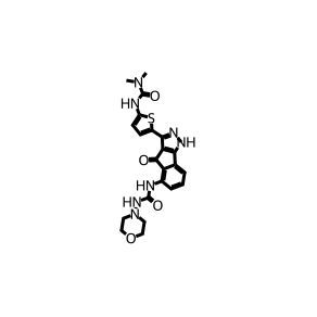 CN(C)C(=O)Nc1ccc(-c2n[nH]c3c2C(=O)c2c(NC(=O)NN4CCOCC4)cccc2-3)s1